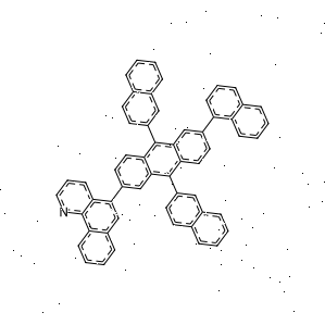 c1ccc2cc(-c3c4ccc(-c5cc6ccccc6c6ncccc56)cc4c(-c4ccc5ccccc5c4)c4ccc(-c5cccc6ccccc56)cc34)ccc2c1